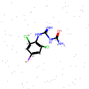 N=C(NC(N)=O)Nc1c(Cl)cc(I)cc1Cl